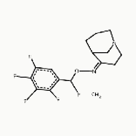 Fc1cc(C(F)ON=C2CCN3CCCC2C3)c(F)c(F)c1F.[CH2]